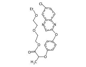 CCOCCOCCOC(=O)C(C)Oc1ccc(Oc2cnc3cc(Cl)ccc3n2)cc1